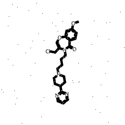 COc1ccc2c(c1)OC=C(CCl)N(CCCCN1CCC(c3ncccn3)CC1)C2=O